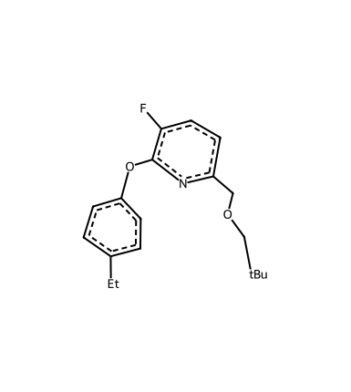 CCc1ccc(Oc2nc(COCC(C)(C)C)ccc2F)cc1